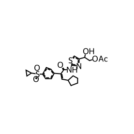 CC(=O)OCC(O)c1csc(NC(=O)C(=CC2CCCC2)c2ccc(S(=O)(=O)C3CC3)cc2)n1